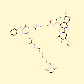 CC[C@@]1(O)C(=O)OCc2c1cc1n(c2=S)Cc2c-1nc1cc(F)c(C)c3c1c2C(NC(=O)COCNC(=O)CNC(=O)[C@H](Cc1ccccc1)NC(=O)CNC(=O)CNC(=O)OCCOCCN1C(=O)C=CC1=O)CC3